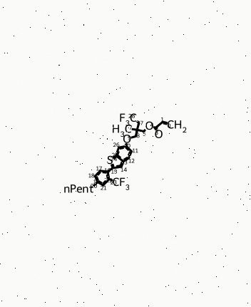 C=CC(=O)OCC(C)(COc1ccc2cc(-c3ccc(CCCCC)cc3C(F)(F)F)sc2c1)CC(F)(F)F